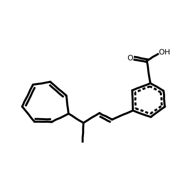 CC(C=Cc1cccc(C(=O)O)c1)C1C=CC=CC=C1